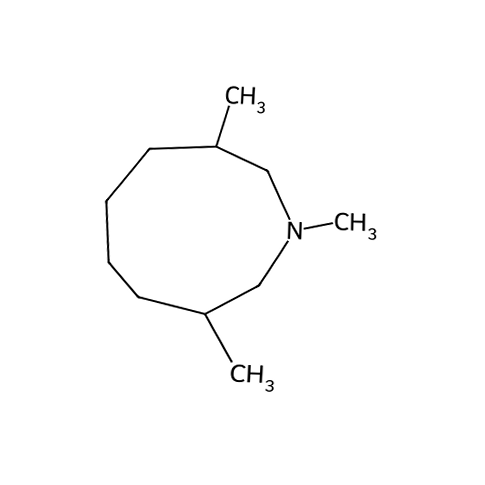 CC1CCCCC(C)CN(C)C1